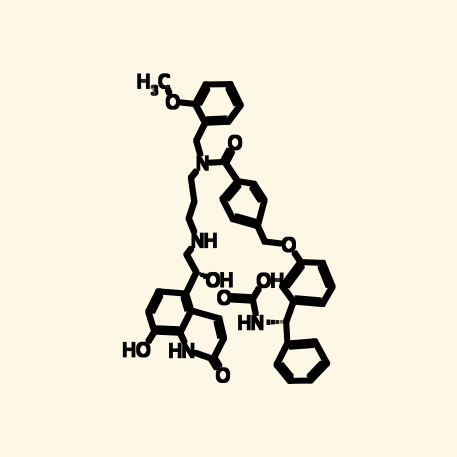 COc1ccccc1CN(CCCNC[C@H](O)c1ccc(O)c2[nH]c(=O)ccc12)C(=O)c1ccc(COc2cccc([C@@H](NC(=O)O)c3ccccc3)c2)cc1